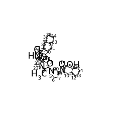 C[C@@H](C(=O)N1CCC[C@@H](N(Cc2ccccc2)C(=O)O)C1)N1CC[C@H](NS(=O)(=O)c2ccc3ccccc3c2)C1=O